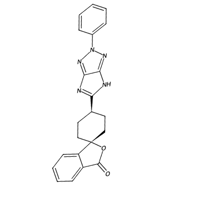 O=C1O[C@]2(CC[C@H](c3nc4nn(-c5ccccc5)nc4[nH]3)CC2)c2ccccc21